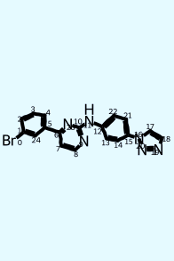 Brc1cccc(-c2ccnc(Nc3ccc(-n4ccnn4)cc3)n2)c1